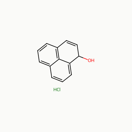 Cl.OC1C=Cc2cccc3cccc1c23